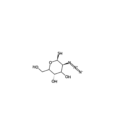 [N-]=[N+]=N[C@H]1C(O)[C@H](O)C(CO)O[C@H]1S